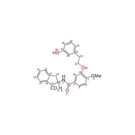 COc1ccc(C(=O)NC2(C(=O)O)Cc3ccccc3C2)cc1OCCc1cccc(O)c1